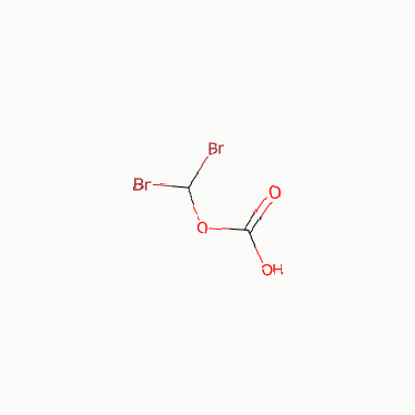 O=C(O)OC(Br)Br